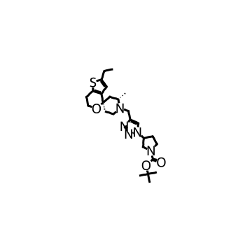 CCc1cc2c(s1)CCO[C@@]21CCN(Cc2cn(C3CCN(C(=O)OC(C)(C)C)C3)nn2)[C@@H](C)C1